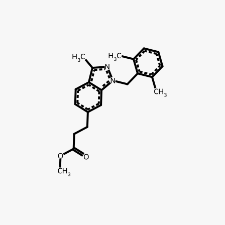 COC(=O)CCc1ccc2c(C)nn(Cc3c(C)cccc3C)c2c1